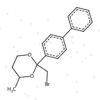 CC1CCOC(CBr)(c2ccc(-c3ccccc3)cc2)O1